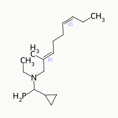 CC/C=C\CC/C=C(\C)CN(CC)C(P)C1CC1